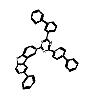 c1ccc(-c2ccc(-c3nc(-c4cccc(-c5ccccc5)c4)nc(-c4ccc5sc6ccc(-c7ccccc7)cc6c5c4)n3)cc2)cc1